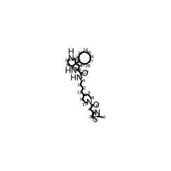 Cc1nc(CC(=O)N2CCC(CCCCNC(=O)C3CC4(C5CCCCCCCC5)CNCCC4N3)CC2)cs1